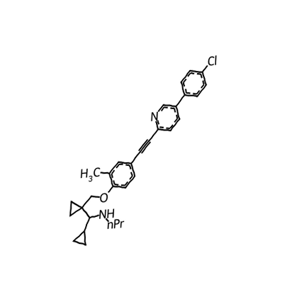 CCCNC(C1CC1)C1(COc2ccc(C#Cc3ccc(-c4ccc(Cl)cc4)cn3)cc2C)CC1